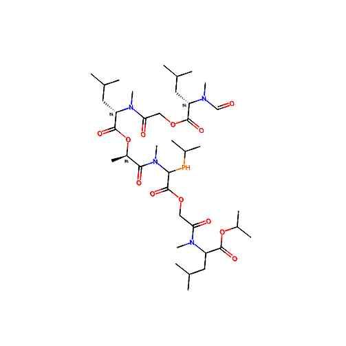 CC(C)CC(C(=O)OC(C)C)N(C)C(=O)COC(=O)C(PC(C)C)N(C)C(=O)[C@@H](C)OC(=O)[C@H](CC(C)C)N(C)C(=O)COC(=O)[C@H](CC(C)C)N(C)C=O